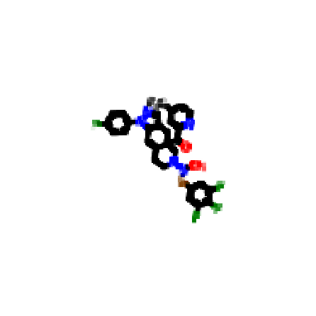 O=C(c1cc(C(F)(F)F)ccn1)C12Cc3cnn(-c4ccc(F)cc4)c3C=C1CCN(N(O)Sc1cc(F)c(F)c(F)c1)C2